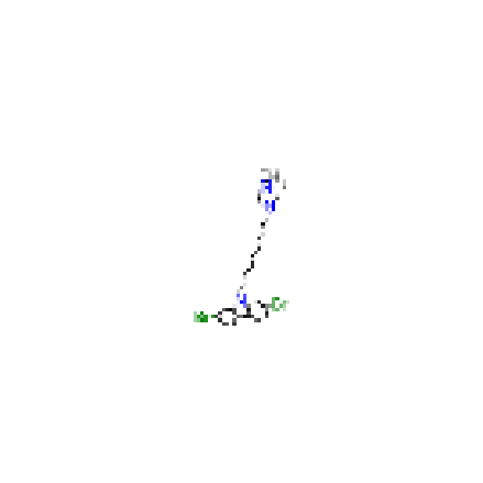 CN1CCN(CCCCCCCCCCn2c3cc(Br)ccc3c3ccc(Br)cc32)CC1